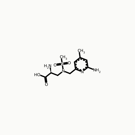 Cc1cc(N)nc(CN(C[C@H](N)C(=O)O)S(C)(=O)=O)c1